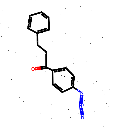 [N-]=[N+]=Nc1ccc(C(=O)CCc2ccccc2)cc1